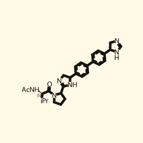 CC(=O)N[C@H](C(=O)N1CCCC1C1=NCC(c2ccc(-c3ccc(C4CN=CN4)cc3)cc2)N1)C(C)C